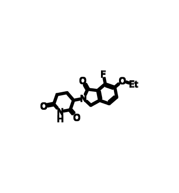 CCOc1ccc2c(c1F)C(=O)N(C1CCC(=O)NC1=O)C2